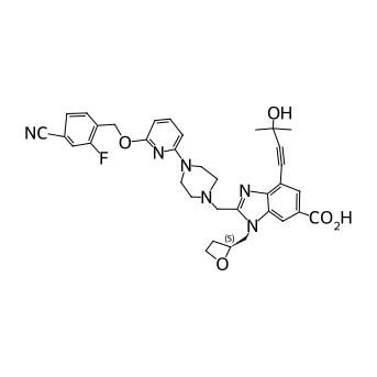 CC(C)(O)C#Cc1cc(C(=O)O)cc2c1nc(CN1CCN(c3cccc(OCc4ccc(C#N)cc4F)n3)CC1)n2C[C@@H]1CCO1